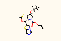 C=CCOC(=O)N1C[C@H](O[Si](C)(C)C(C)(C)C)C[C@H]1C(OC(C)=S)c1cn2cncc2s1